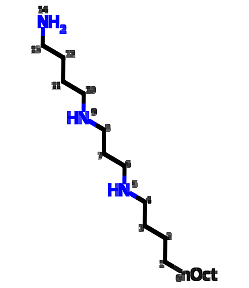 CCCCCCCCCCCCNCCCNCCCCN